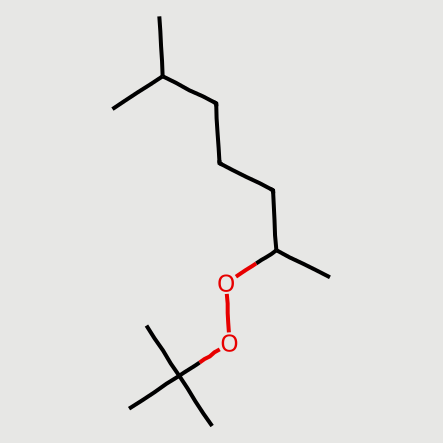 CC(C)CCCC(C)OOC(C)(C)C